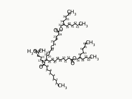 CCCCCCCCCC(=O)N(CCCN(C)C)C(CCCCCCCCCCC(=O)OCC(CCCCC)CCCCCC)CCCCCCCCC(=O)OCC(CCCC)CCCCCC